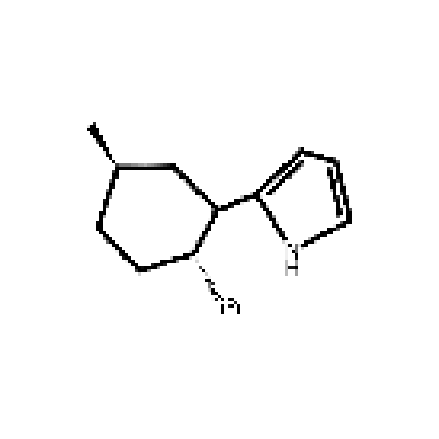 CC(C)[C@@H]1CC[C@@H](C)CC1c1ccc[nH]1